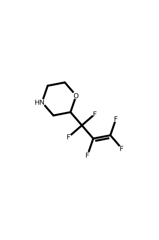 FC(F)=C(F)C(F)(F)C1CNCCO1